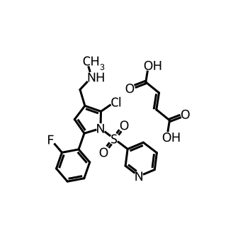 CNCc1cc(-c2ccccc2F)n(S(=O)(=O)c2cccnc2)c1Cl.O=C(O)/C=C/C(=O)O